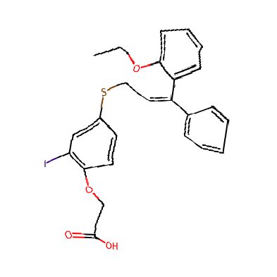 CCOc1ccccc1/C(=C\CSc1ccc(OCC(=O)O)c(I)c1)c1ccccc1